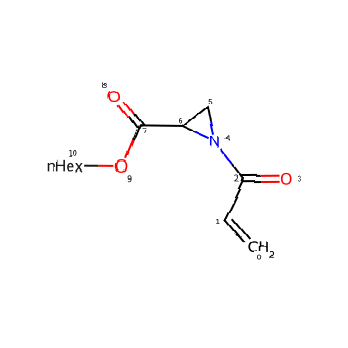 C=CC(=O)N1CC1C(=O)OCCCCCC